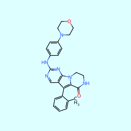 Cc1ccccc1-c1c2n(c3nc(Nc4ccc(N5CCOCC5)cc4)ncc13)CCNC2=O